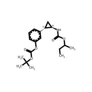 CCC(C)OC(=O)N[C@@H]1C[C@H]1c1cccc(OC(=O)OC(C)(C)C)c1